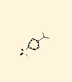 CCC(Br)c1ccc(S(=O)(=O)F)cc1